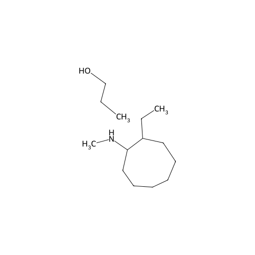 CCC1CCCCCCC1NC.CCCO